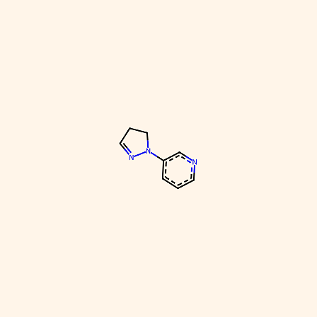 C1=NN(c2cccnc2)CC1